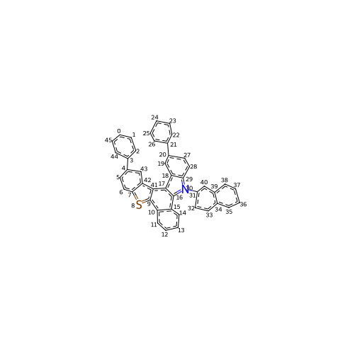 c1ccc(-c2ccc3sc4c5ccccc5c5c(c6cc(-c7ccccc7)ccc6n5-c5ccc6ccccc6c5)c4c3c2)cc1